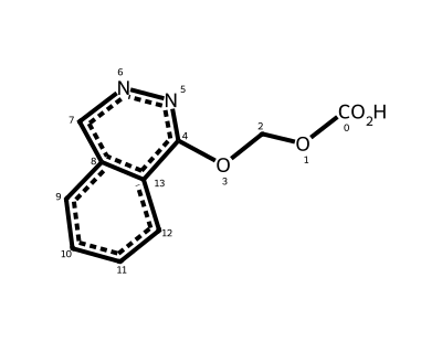 O=C(O)OCOc1nncc2ccccc12